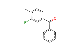 [CH2]c1ccc(C(=O)c2ccccc2)cc1F